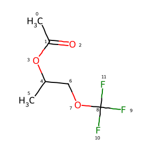 CC(=O)OC(C)COC(F)(F)F